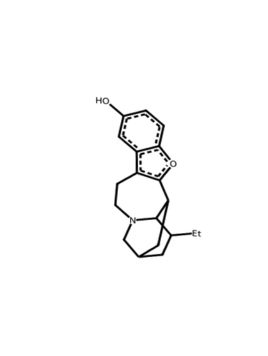 CCC1CC2CC3c4oc5ccc(O)cc5c4CCN(C2)C13